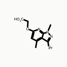 Cc1cc(OCC(=O)O)nc2c1c(C(C)C)nn2C